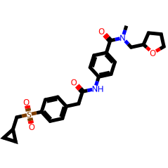 CN(CC1CCCO1)C(=O)c1ccc(NC(=O)Cc2ccc(S(=O)(=O)CC3CC3)cc2)cc1